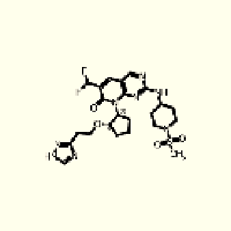 CS(=O)(=O)N1CCC(Nc2ncc3cc(C(F)F)c(=O)n([C@H]4CCC[C@@H]4OCCc4nc[nH]n4)c3n2)CC1